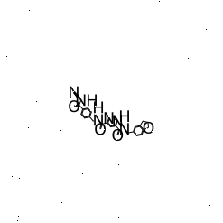 N#CNC(=O)c1ccc(CNC(=O)c2cc(C(=O)NCc3ccc4c(c3)CCO4)ncn2)cc1